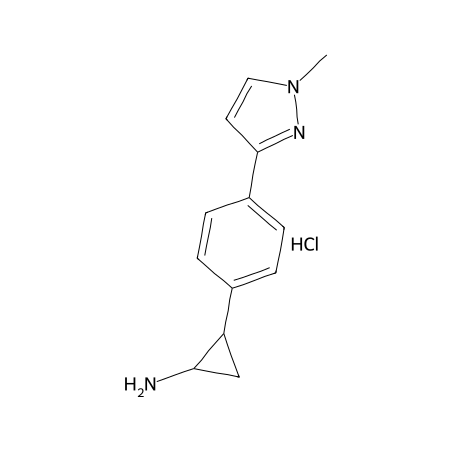 Cl.Cn1ccc(-c2ccc(C3CC3N)cc2)n1